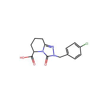 O=C(O)C1CCCc2nn(Cc3ccc(Cl)cc3)c(=O)n21